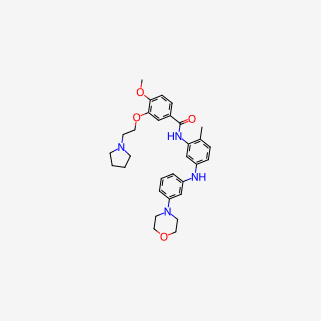 COc1ccc(C(=O)Nc2cc(Nc3cccc(N4CCOCC4)c3)ccc2C)cc1OCCN1CCCC1